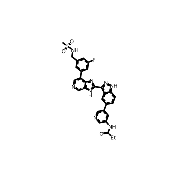 CCC(=O)Nc1cncc(-c2ccc3[nH]nc(-c4nc5c(-c6cc(F)cc(CNS(C)(=O)=O)c6)cncc5[nH]4)c3c2)c1